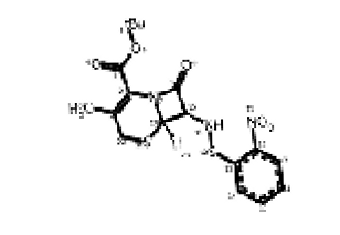 CC1=C(C(=O)OC(C)(C)C)N2C(=O)[C@@H](NSc3ccccc3[N+](=O)[O-])[C@@H]2SC1